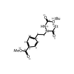 CCC(=O)N(CCc1ccc(C(=O)OC)cc1)NC(=O)OC(C)(C)C